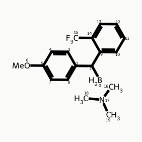 BC(c1ccc(OC)cc1)c1ccccc1C(F)(F)F.CN(C)C